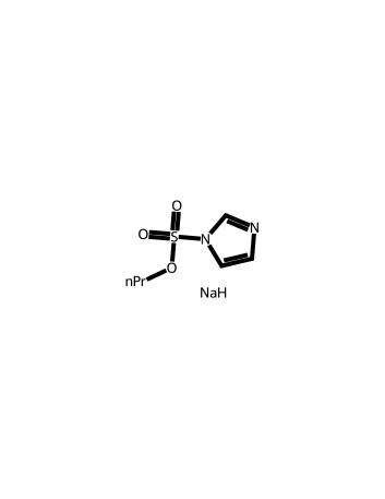 CCCOS(=O)(=O)n1ccnc1.[NaH]